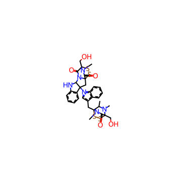 CC1N(C)C2(CO)SSC1(Cc1cn(C34CC56SSC(CO)(C(=O)N5C3Nc3ccccc34)N(C)C6=O)c3ccccc13)N(C)C2=O